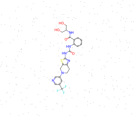 O=C(Nc1nc2c(s1)CN(c1cncc(C(F)(F)F)c1)CC2)Nc1ccccc1C(=O)NC(CO)CO